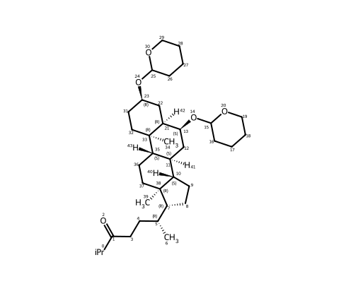 CC(C)C(=O)CC[C@@H](C)[C@H]1CC[C@H]2[C@@H]3C[C@H](OC4CCCCO4)[C@@H]4C[C@H](OC5CCCCO5)CC[C@]4(C)[C@H]3CC[C@]12C